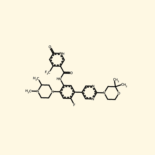 CC1CN(c2cc(F)c(-c3cnc(N4CCOC(C)(C)C4)nc3)cc2NC(=O)c2c[nH]c(=O)cc2C(F)(F)F)CCN1C